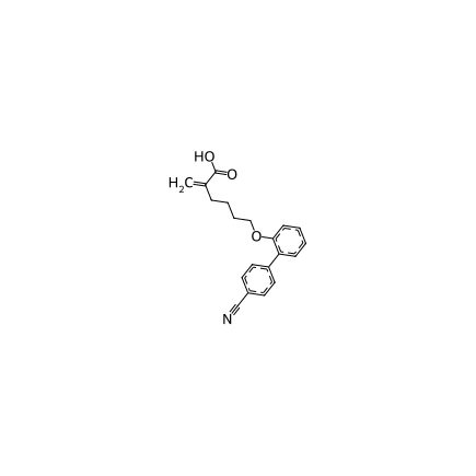 C=C(CCCCOc1ccccc1-c1ccc(C#N)cc1)C(=O)O